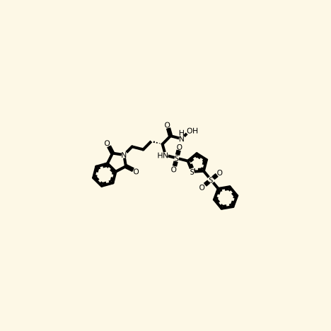 O=C(NO)[C@@H](CCCN1C(=O)c2ccccc2C1=O)NS(=O)(=O)c1ccc(S(=O)(=O)c2ccccc2)s1